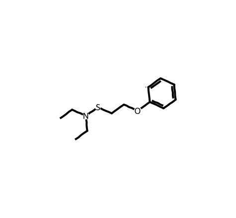 CCN(CC)SCCOc1[c]cccc1